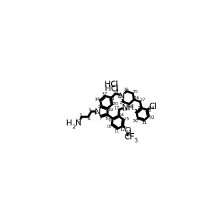 Cl.Cl.NCCCn1cc(-c2ccc(OC(F)(F)F)cc2CN)c2cc(CN3CCC(Cc4ccccc4Cl)CC3)ccc21